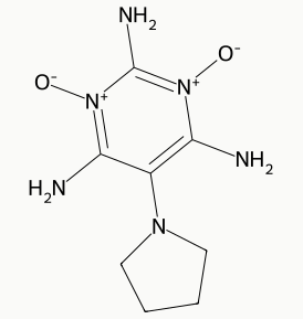 Nc1c(N2CCCC2)c(N)[n+]([O-])c(N)[n+]1[O-]